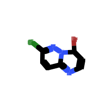 ClC1=NN2C(=NC#CC2Br)C=C1